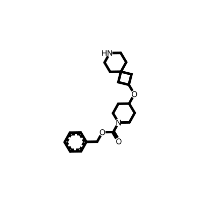 O=C(OCc1ccccc1)N1CCC(OC2CC3(CCNCC3)C2)CC1